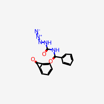 O=c1c2ccccc12.[N-]=[N+]=NNC(=O)NC(=O)c1ccccc1